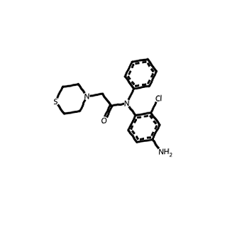 Nc1ccc(N(C(=O)CN2CCSCC2)c2ccccc2)c(Cl)c1